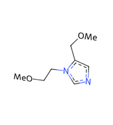 COCCn1cncc1COC